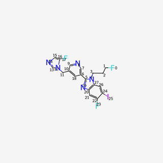 FCCCn1c(-c2cncc(Cn3cncc3F)c2)nc2cc(F)c(I)cc21